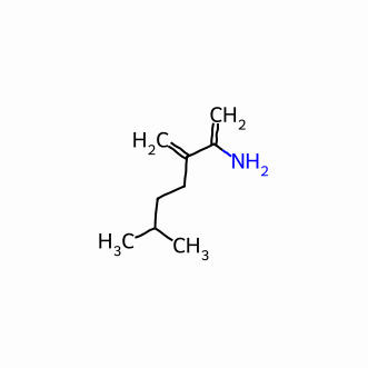 C=C(N)C(=C)CCC(C)C